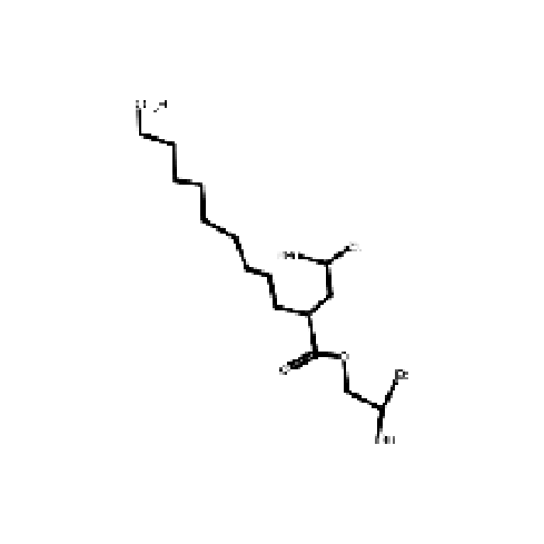 CCCCC(CC)COC(=O)C(CCCCCCCCCC(=O)O)CC(CC)CCCC